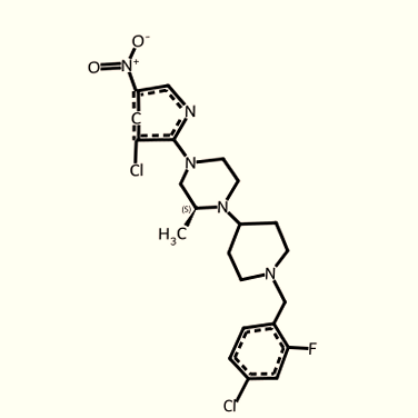 C[C@H]1CN(c2ncc([N+](=O)[O-])cc2Cl)CCN1C1CCN(Cc2ccc(Cl)cc2F)CC1